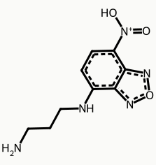 NCCCNc1ccc([N+](=O)O)c2nonc12